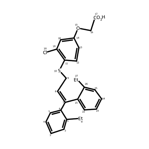 CCc1ccccc1C(=CCSc1ccc(OCC(=O)O)cc1Cl)c1ccccc1CC